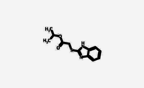 CC(C)OC(=O)CSc1nc2ccccc2[nH]1